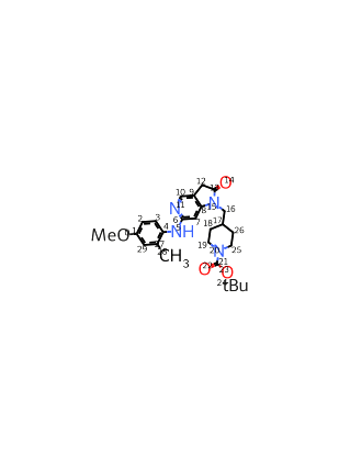 COc1ccc(Nc2cc3c(cn2)CC(=O)N3CC2CCN(C(=O)OC(C)(C)C)CC2)c(C)c1